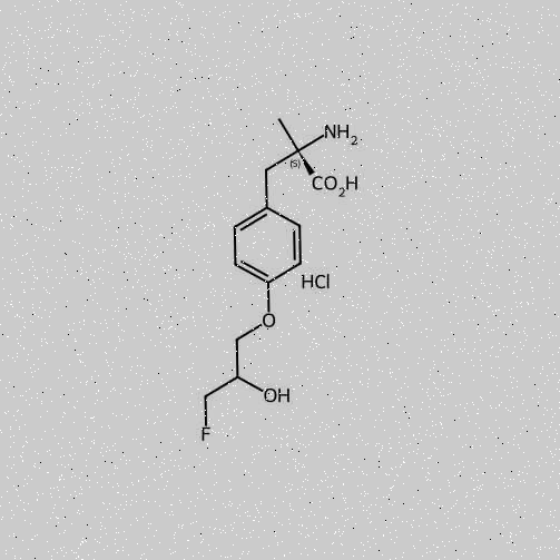 C[C@](N)(Cc1ccc(OCC(O)CF)cc1)C(=O)O.Cl